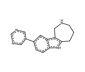 c1ncc(-c2ccc3[nH]c4c(c3c2)CNCCC4)cn1